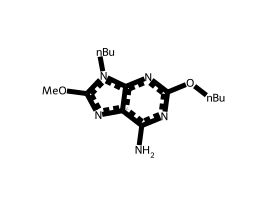 CCCCOc1nc(N)c2nc(OC)n(CCCC)c2n1